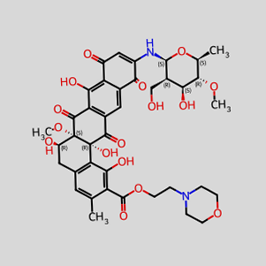 CO[C@@H]1[C@@H](O)[C@@H](CO)[C@@H](NC2=CC(=O)c3c(cc4c(c3O)C(=O)[C@]3(OC)[C@H](O)Cc5cc(C)c(C(=O)OCCN6CCOCC6)c(O)c5[C@]3(O)C4=O)C2=O)O[C@H]1C